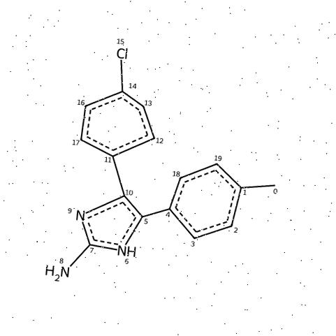 Cc1ccc(-c2[nH]c(N)nc2-c2ccc(Cl)cc2)cc1